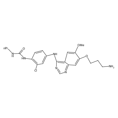 CCCNC(=O)Nc1ccc(Nc2ncnc3cc(OCCCN)c(OC)cc23)cc1Cl